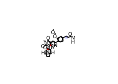 CNC(=O)/C=C/c1ccc(-c2cc3c(=O)n(C)c(=O)n(C4C[C@H]5CC[C@@H](C4)N5C(=O)OC(C)(C)C)c3nn2)c(OCOC)c1